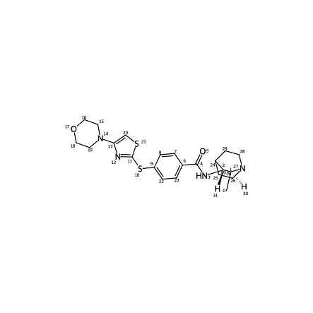 C[C@H]1[C@H](NC(=O)c2ccc(Sc3nc(N4CCOCC4)cs3)cc2)C2CCN1CC2